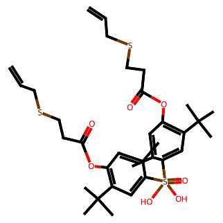 C=CCSCCC(=O)Oc1cc(C)c(S(=O)(O)(O)c2cc(C(C)(C)C)c(OC(=O)CCSCC=C)cc2C)cc1C(C)(C)C